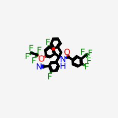 N#Cc1cc(C(Cc2ccccc2)(NC(=O)c2ccc(F)c(C(F)(F)F)c2)c2cc(F)cc(OC(F)(F)C(F)F)c2)ccc1F